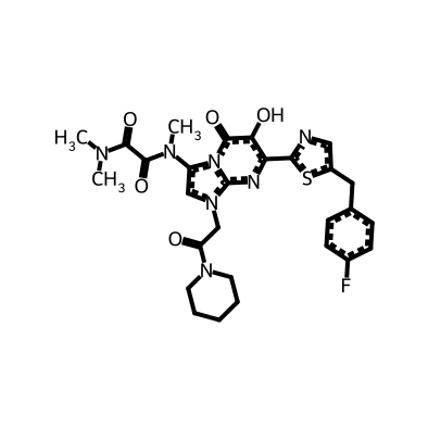 CN(C)C(=O)C(=O)N(C)c1cn(CC(=O)N2CCCCC2)c2nc(-c3ncc(Cc4ccc(F)cc4)s3)c(O)c(=O)n12